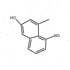 Cc1cc(O)cc2cccc(N=O)c12